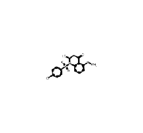 COc1cccc2c1C(=O)CC(C)N2S(=O)(=O)c1ccc(Cl)cc1